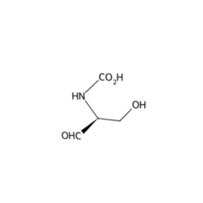 O=C[C@H](CO)NC(=O)O